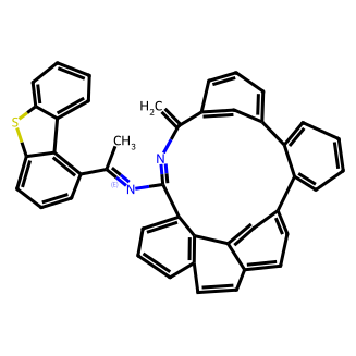 C=c1nc(/N=C(\C)c2cccc3sc4ccccc4c23)c2cccc3ccc4ccc(cc4c32)c2ccccc2c2cccc1c2